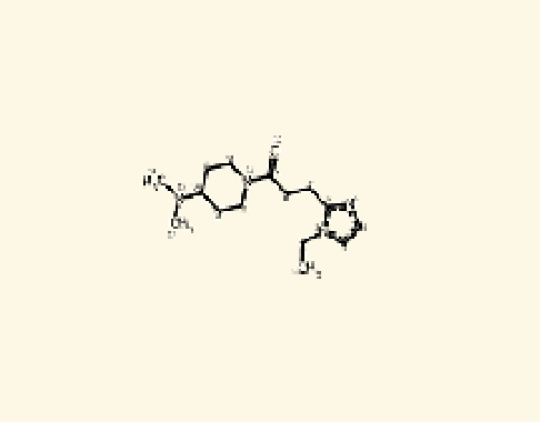 CCn1ccnc1CCC(=O)N1CCC(N(C)C)CC1